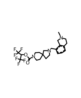 CN1CCc2cccc(CN3CCC4(CCN(C(=O)OC(C(F)(F)F)C(F)(F)F)CC4)C3)c2C1